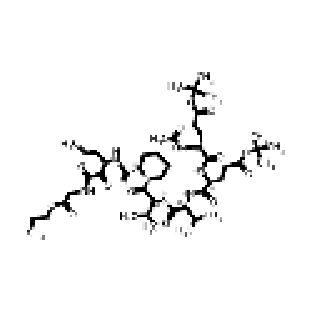 CCCOC(=O)CNC(=O)C(=O)C(CCC)NC(=O)[C@@H]1CCCCN1C(=O)[C@@H](NC(=O)[C@@H](NC(=O)[C@H](CCC(=O)OC(C)(C)C)NC(=O)[C@H](CCC(=O)OC(C)(C)C)NC(C)=O)C(C)C)C(C)C